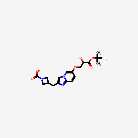 CC(C)(C)OC(=O)C(O)COc1ccc2nc(CC3CN(C(=O)O)C3)cn2c1